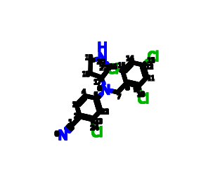 N#Cc1ccc(N(Cc2c(Cl)cc(Cl)cc2Cl)[C@H]2CCNC2)cc1Cl